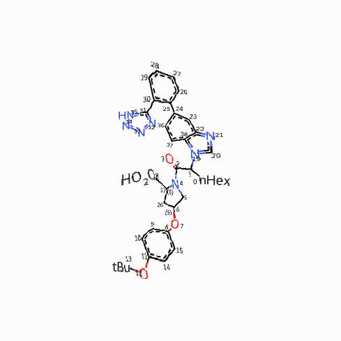 CCCCCCC(C(=O)N1C[C@@H](Oc2ccc(OC(C)(C)C)cc2)C[C@H]1C(=O)O)n1cnc2cc(-c3ccccc3-c3nnn[nH]3)ccc21